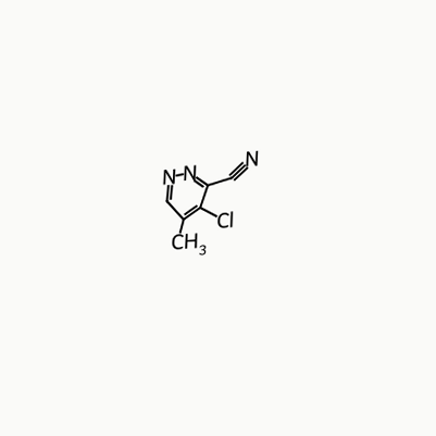 Cc1cnnc(C#N)c1Cl